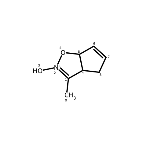 CC1=[N+](O)OC2C=CCC12